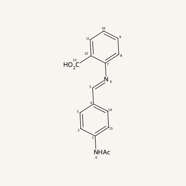 CC(=O)Nc1ccc(/C=N/c2ccccc2C(=O)O)cc1